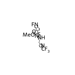 COC(=O)c1nc(NCCCc2ccc(C(F)(F)F)nc2)sc1-c1ccc2cnc(F)cc2c1